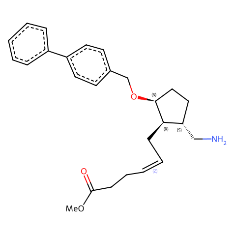 COC(=O)CC/C=C\C[C@@H]1[C@@H](CN)CC[C@@H]1OCc1ccc(-c2ccccc2)cc1